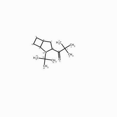 CC(C)(C)C(=O)C1CC2CCC2N1C(C)(C)C